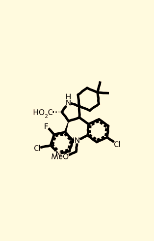 COCNc1cc(Cl)ccc1C1[C@@H](c2ccnc(Cl)c2F)[C@H](C(=O)O)NC12CCC(C)(C)CC2